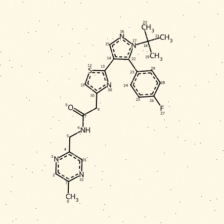 Cc1cnc(CNC(=O)Cc2csc(-c3cnn(C(C)(C)C)c3-c3ccc(F)cc3)n2)cn1